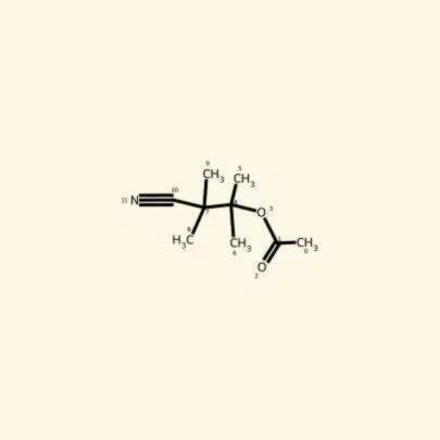 CC(=O)OC(C)(C)C(C)(C)C#N